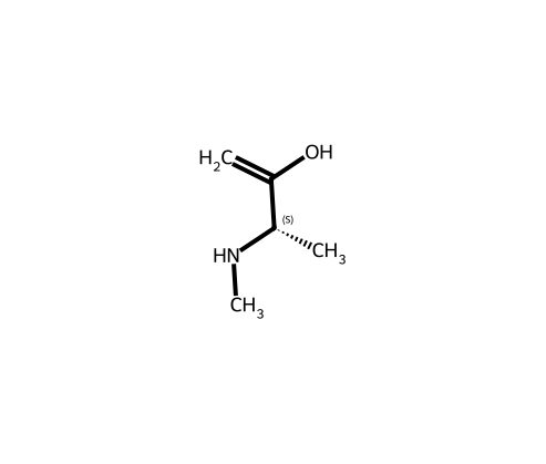 C=C(O)[C@H](C)NC